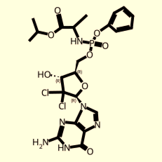 CC(C)OC(=O)C(C)NP(=O)(OC[C@H]1O[C@@H](n2cnc3c(=O)[nH]c(N)nc32)C(Cl)(Cl)[C@@H]1O)Oc1ccccc1